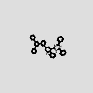 C1=CC(C2=NC(C3=CC(c4cccc(-c5cc(-c6ccccc6)cc(-c6ccccc6)c5)c4)Cc4oc5ccccc5c43)NC(c3ccccc3)=N2)=CCC1